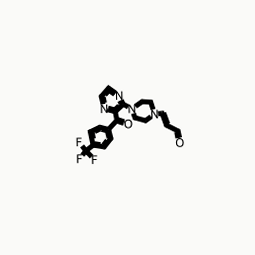 O=CC=CN1CCN(c2nccnc2C(=O)c2ccc(C(F)(F)F)cc2)CC1